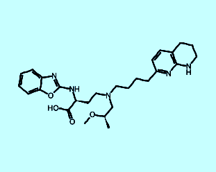 CO[C@H](C)CN(CCCCc1ccc2c(n1)NCCC2)CC[C@H](Nc1nc2ccccc2o1)C(=O)O